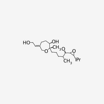 CC(CCC[C@]1(C)OC/C(=C/CO)CC[C@H]1O)C(=O)C1OC1C(C)C